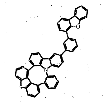 c1cc(-c2ccc3c(c2)c2cccc4c5cccc6sc7cccc(c8ccccc8n3c42)c7c65)cc(-c2cccc3c2oc2ccccc23)c1